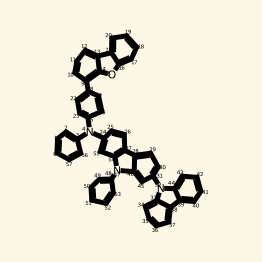 c1ccc(N(c2ccc(-c3cccc4c3oc3ccccc34)cc2)c2ccc3c4ccc(-n5c6ccccc6c6ccccc65)cc4n(-c4ccccc4)c3c2)cc1